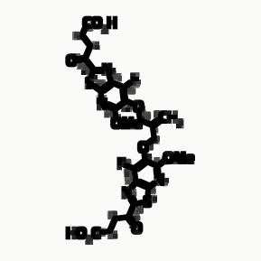 C=C(COc1c(OC)nc2sc(C(=O)CCC(=O)O)nc2c1F)COc1c(OC)nc2sc(C(=O)CCC(=O)O)nc2c1F